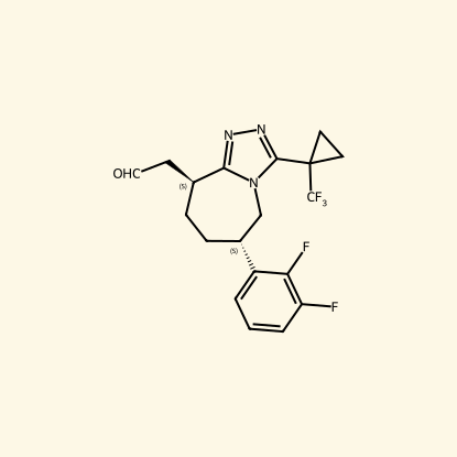 O=CC[C@@H]1CC[C@@H](c2cccc(F)c2F)Cn2c1nnc2C1(C(F)(F)F)CC1